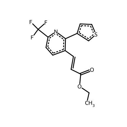 CCOC(=O)C=Cc1ccc(C(F)(F)F)nc1-c1ccsc1